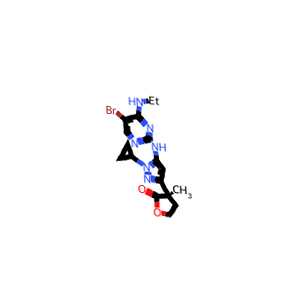 CCNc1nc(Nc2cc([C@]3(C)CCOC3=O)nn2C2CC2)ncc1Br